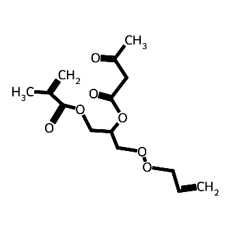 C=CCOOCC(COC(=O)C(=C)C)OC(=O)CC(C)=O